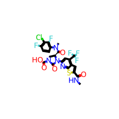 CNC(=O)c1cc2c(C(F)(F)F)cc(N3C(=O)N(C(=O)O)C[C@H]3C(=O)N(C)c3ccc(F)c(Cl)c3F)nc2s1